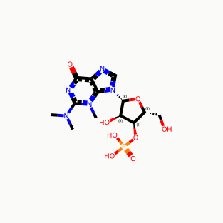 CN(C)c1nc(=O)c2ncn([C@@H]3O[C@H](CO)[C@@H](OP(=O)(O)O)[C@H]3O)c2n1C